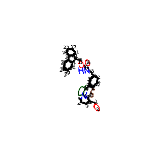 O=Cc1cccnc1Sc1ccc(CNC(=O)OCC2c3ccccc3-c3ccccc32)cc1Cl